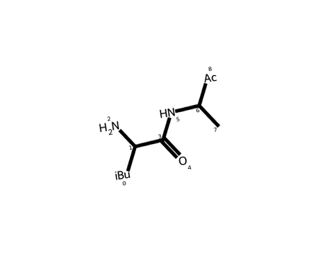 CCC(C)C(N)C(=O)NC(C)C(C)=O